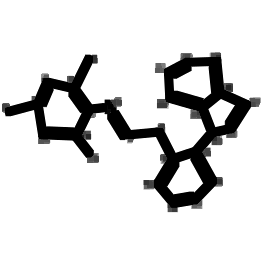 Cc1cc(C)c(N=CCc2ccccc2C2C=Cc3ccccc32)c(C)c1